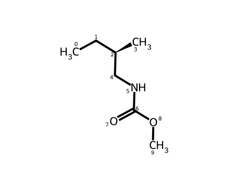 CC[C@@H](C)CNC(=O)OC